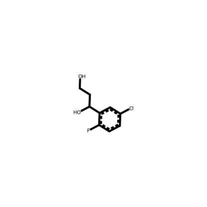 OCCC(O)c1cc(Cl)ccc1F